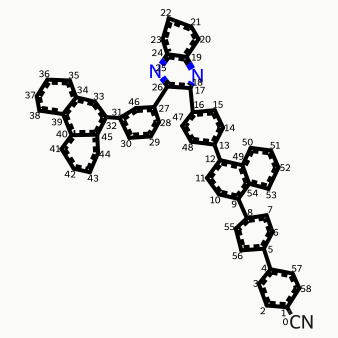 N#Cc1ccc(-c2ccc(-c3ccc(-c4ccc(-c5nc6ccccc6nc5-c5cccc(-c6cc7ccccc7c7ccccc67)c5)cc4)c4ccccc34)cc2)cc1